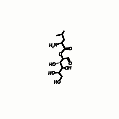 CC(C)C[C@H](N)C(=O)O[C@@H](C=O)[C@@H](O)[C@@H](O)[C@H](O)CO